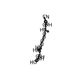 N#CC#Cc1ccc(NC(=O)CCCNC(CCOCCOCCOCCOCCN/C=C(/CCCCNC(=O)Nc2ccc(O)cc2)N=N)=C2CCC2)cc1